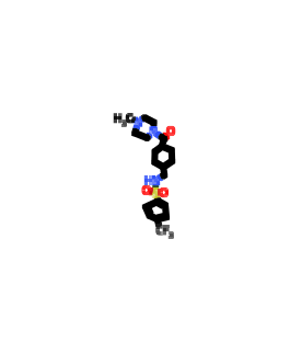 CN1CCN(C(=O)C2CCC(CNS(=O)(=O)c3ccc(C(F)(F)F)cc3)CC2)CC1